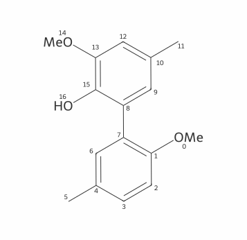 COc1ccc(C)cc1-c1cc(C)cc(OC)c1O